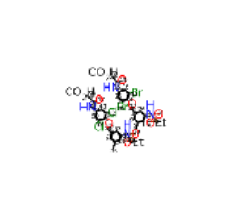 CCS(=O)(=O)Nc1cc(C)cc(COc2c(Br)cc(NC(=O)CC(=O)O)cc2Br)c1.CCS(=O)(=O)Nc1cc(C)cc(COc2c(Cl)cc(NC(=O)CC(=O)O)cc2Cl)c1